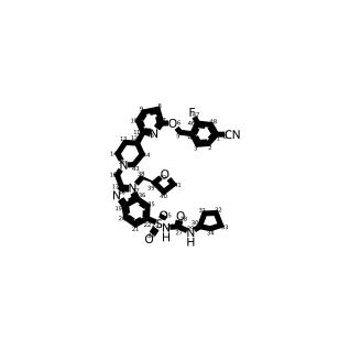 N#Cc1ccc(COc2cccc(C3CCN(Cc4nc5ccc(S(=O)(=O)NC(=O)NC6CCCC6)cc5n4C[C@@H]4CCO4)CC3)n2)c(F)c1